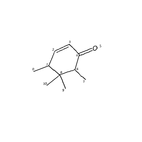 CC1C=CC(=O)C(C)C1(C)C